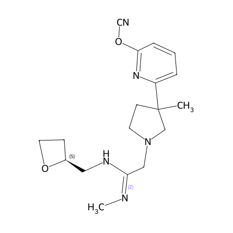 C/N=C(/CN1CCC(C)(c2cccc(OC#N)n2)C1)NC[C@@H]1CCO1